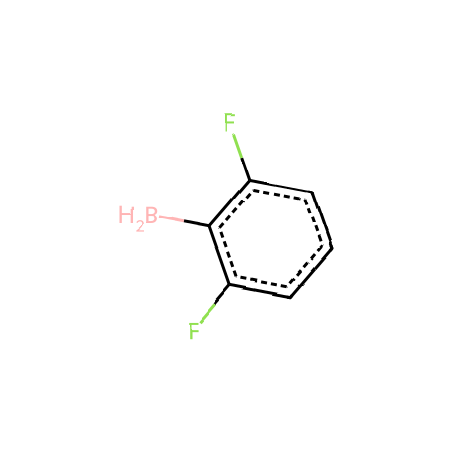 Bc1c(F)cccc1F